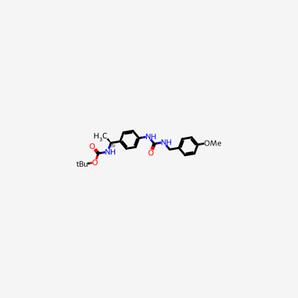 COc1ccc(CNC(=O)Nc2ccc([C@H](C)NC(=O)OC(C)(C)C)cc2)cc1